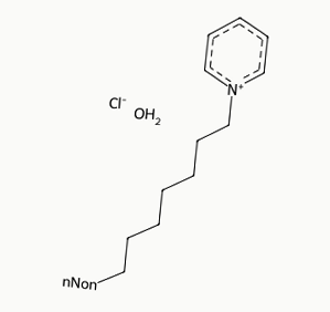 CCCCCCCCCCCCCCCC[n+]1ccccc1.O.[Cl-]